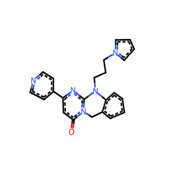 O=c1cc(-c2ccncc2)nc2n1Cc1ccccc1N2CCCn1cccc1